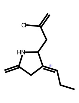 C=C(Cl)CC1NC(=C)C/C1=C\CC